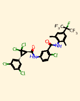 Cc1cc(C(F)(C(F)(F)F)C(F)(F)F)cc(C)c1NC(=O)c1cc(NC(=O)[C@H]2[C@H](c3cc(Cl)cc(Cl)c3)C2(Cl)Cl)ccc1Cl